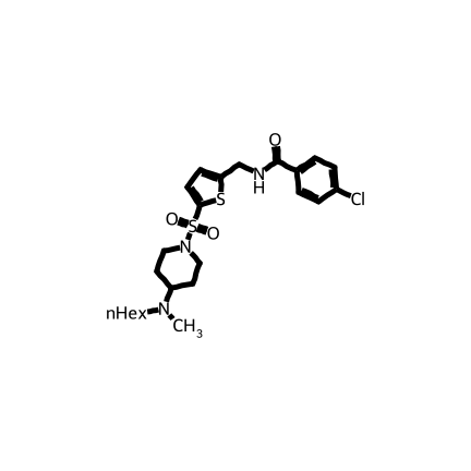 CCCCCCN(C)C1CCN(S(=O)(=O)c2ccc(CNC(=O)c3ccc(Cl)cc3)s2)CC1